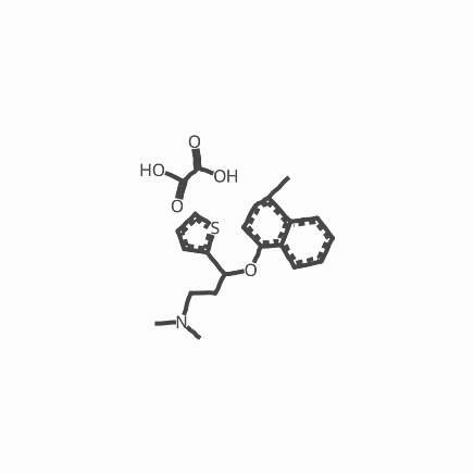 Cc1ccc(OC(CCN(C)C)c2cccs2)c2ccccc12.O=C(O)C(=O)O